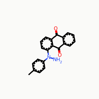 Cc1ccc(N(N)c2cccc3c2C(=O)c2ccccc2C3=O)cc1